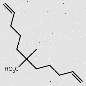 C=CCCCC(C)(CCCC=C)C(=O)O